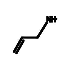 C=CC[NH]